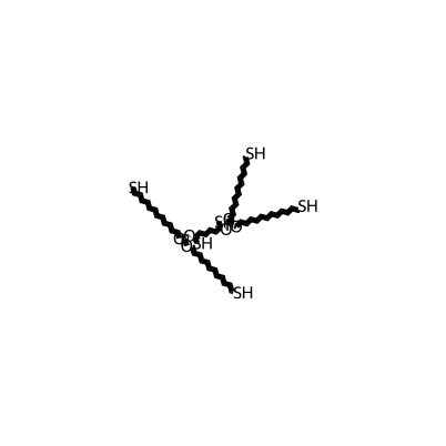 SCCCCCCCCCCCCOP(OCCCCCCCCCCCCS)OC(S)CCCCC(S)OP(OCCCCCCCCCCCCS)OCCCCCCCCCCCCS